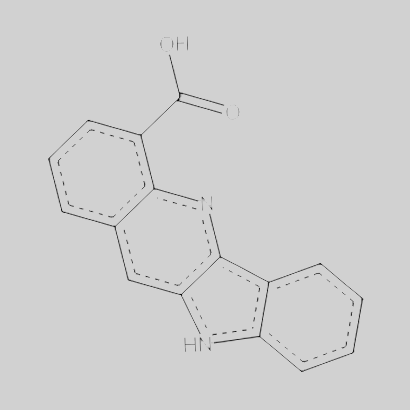 O=C(O)c1cccc2cc3[nH]c4ccccc4c3nc12